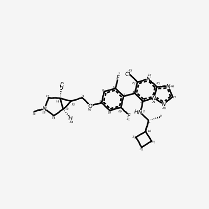 C[C@@H](Nc1c(-c2c(F)cc(OCC3[C@H]4CN(C)C[C@@H]34)cc2F)c(Cl)nc2ncnn12)C1CCC1